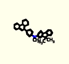 CN(c1ccc(C2=C3C=CC=CC3C3C=CC=CC3=C2)cc1)c1ccc2c(c1)C(C)(C)c1ccccc1-2